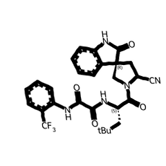 CC(C)(C)C[C@H](NC(=O)C(=O)Nc1ccccc1C(F)(F)F)C(=O)N1C[C@]2(CC1C#N)C(=O)Nc1ccccc12